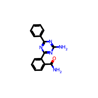 NC(=O)c1ccccc1-c1nc(N)nc(-c2ccccc2)n1